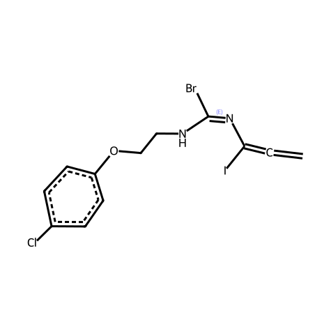 C=C=C(I)/N=C(/Br)NCCOc1ccc(Cl)cc1